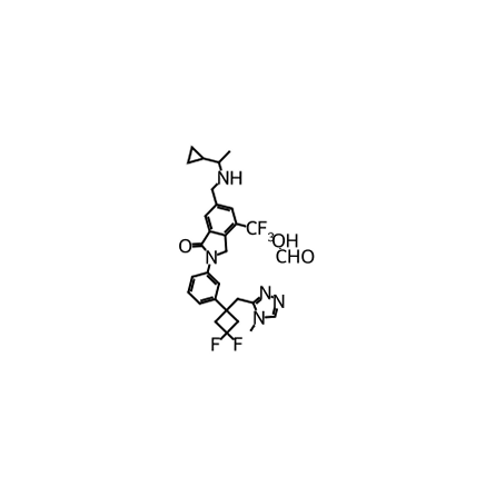 CC(NCc1cc2c(c(C(F)(F)F)c1)CN(c1cccc(C3(Cc4nncn4C)CC(F)(F)C3)c1)C2=O)C1CC1.O=CO